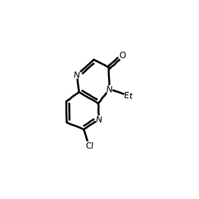 CCn1c(=O)cnc2ccc(Cl)nc21